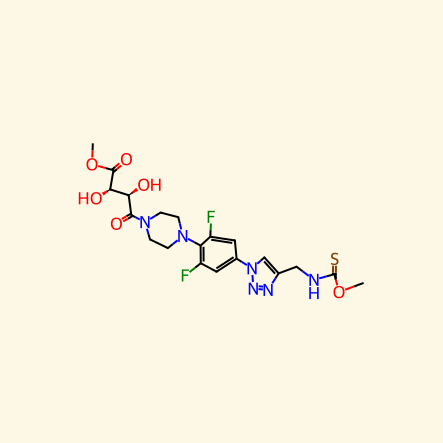 COC(=O)[C@H](O)[C@@H](O)C(=O)N1CCN(c2c(F)cc(-n3cc(CNC(=S)OC)nn3)cc2F)CC1